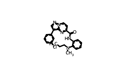 CCCN(C)c1ccccc1NC(=O)c1ccn2ncc(-c3cccc(Cl)c3)c2n1